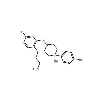 NCCOc1ccc(Br)cc1CN1CCC(O)(c2ccc(Br)cc2)CC1